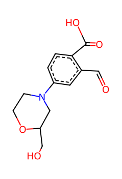 O=Cc1cc(N2CCOC(CO)C2)ccc1C(=O)O